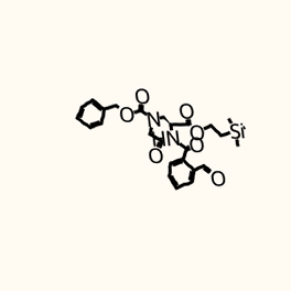 C[Si](C)(C)CCOC(=O)[C@H](CN(CC=O)C(=O)OCc1ccccc1)NC(=O)c1ccccc1C=O